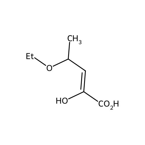 CCOC(C)/C=C(\O)C(=O)O